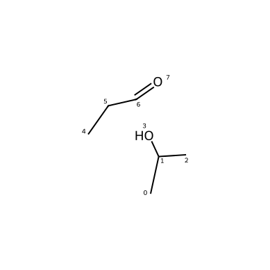 CC(C)O.CCC=O